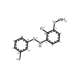 NSc1cccc(NSc2cccc(F)c2)c1F